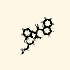 CNCC1Cn2c(C)c(C(=O)c3cccc4ccccc34)c3cccc(c32)O1